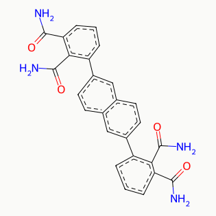 NC(=O)c1cccc(-c2ccc3cc(-c4cccc(C(N)=O)c4C(N)=O)ccc3c2)c1C(N)=O